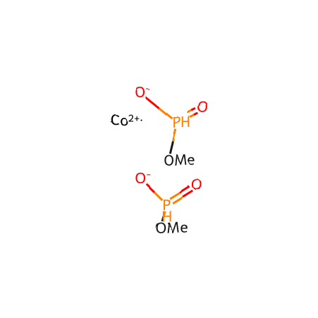 CO[PH](=O)[O-].CO[PH](=O)[O-].[Co+2]